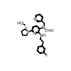 O=CN(Cc1cccnc1)c1ccc(N2CCC[C@@H]2CO)nc1NCCc1cccc(F)c1